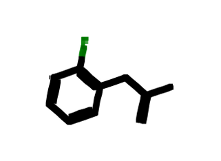 C=C(C)Cc1ccc[c]c1F